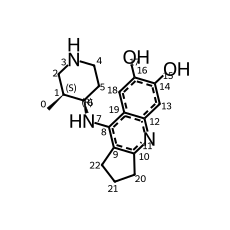 C[C@H]1CNCC[C@H]1Nc1c2c(nc3cc(O)c(O)cc13)CCC2